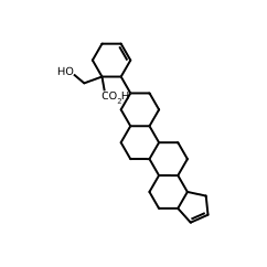 O=C(O)C1(CO)CCC=CC1C1CCC2C(CCC3C2CCC2C4CC=CC4CCC23)C1